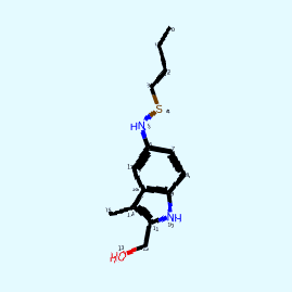 CCCCSNc1ccc2[nH]c(CO)c(C)c2c1